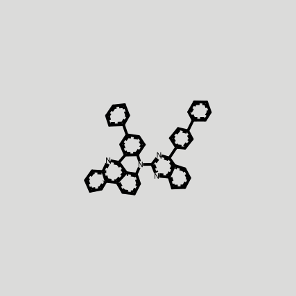 c1ccc(-c2ccc(-c3nc(N4c5ccc(-c6ccccc6)cc5-c5nc6ccccc6c6cccc4c56)nc4ccccc34)cc2)cc1